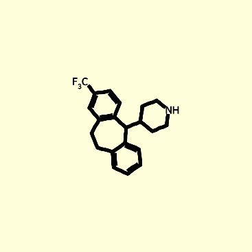 FC(F)(F)c1ccc2c(c1)CCc1ccccc1C2C1CCNCC1